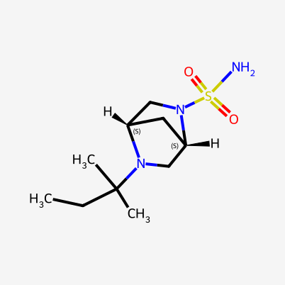 CCC(C)(C)N1C[C@@H]2C[C@H]1CN2S(N)(=O)=O